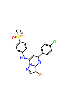 CS(=O)(=O)c1ccc(Nc2cc(-c3ccc(Cl)cc3)nc3c(Br)cnn23)cc1